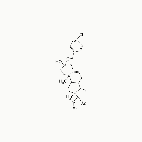 CCOC1(C(C)=O)CCC2C3CC=C4CC(O)(OCc5ccc(Cl)cc5)CCC4(C)C3CCC21C